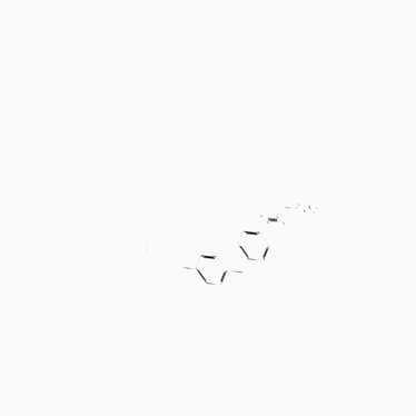 CNCN=Nc1ccc(Cc2ccc(OS(=O)(=O)O)cc2)cc1